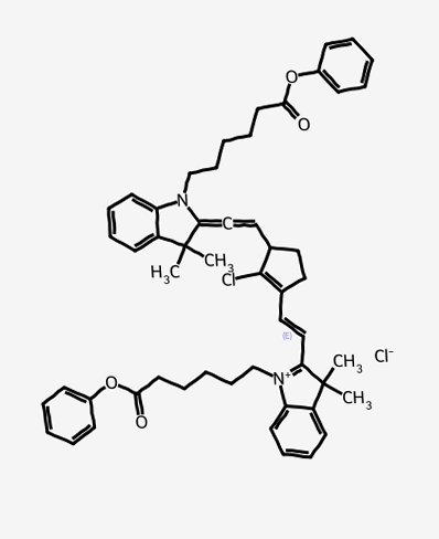 CC1(C)C(=C=CC2CCC(/C=C/C3=[N+](CCCCCC(=O)Oc4ccccc4)c4ccccc4C3(C)C)=C2Cl)N(CCCCCC(=O)Oc2ccccc2)c2ccccc21.[Cl-]